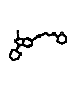 Fc1nn(C2CCCCO2)c2ccc(C#CCCOC3CCCCO3)cc12